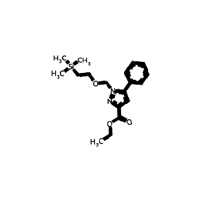 CCOC(=O)c1cc(-c2ccccc2)n(COCC[Si](C)(C)C)n1